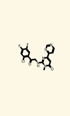 Cn1c(NCC(=O)c2cc(F)c(F)cc2Cl)nc(-c2ccncn2)cc1=O